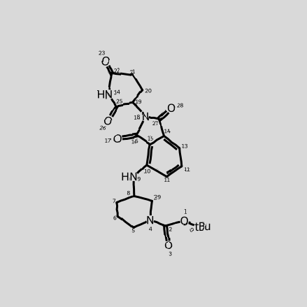 CC(C)(C)OC(=O)N1CCCC(Nc2cccc3c2C(=O)N(C2CCC(=O)NC2=O)C3=O)C1